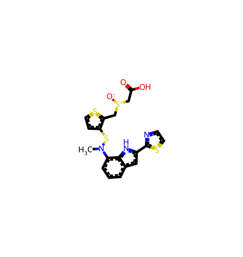 CN(Sc1ccsc1C[S+]([O-])CC(=O)O)c1cccc2cc(-c3nccs3)[nH]c12